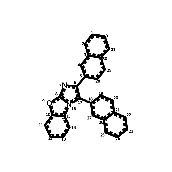 c1ccc2cc(-c3nc4oc5ccccc5n4c3-c3ccc4ccccc4c3)ccc2c1